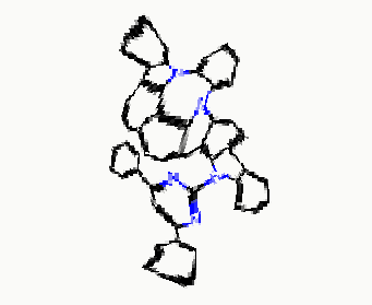 c1ccc(-c2cc(-c3ccccc3)nc(-n3c4ccccc4c4ccc5c(c6ccc7ccc8c9ccccc9n9c%10ccccc%10n5c6c7c89)c43)n2)cc1